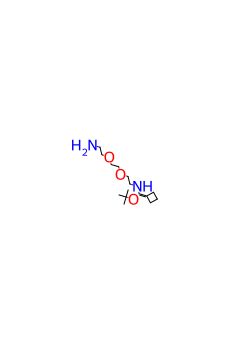 CC(C)(C)OC(NCCOCCOCCN)=C1CCC1